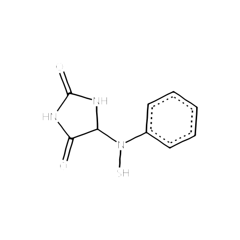 O=C1NC(=O)C(N(S)c2ccccc2)N1